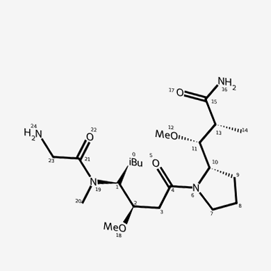 CC[C@H](C)[C@@H]([C@@H](CC(=O)N1CCC[C@H]1[C@H](OC)[C@@H](C)C(N)=O)OC)N(C)C(=O)CN